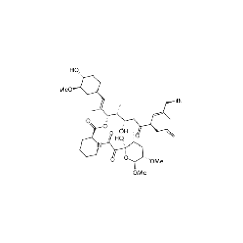 C=CC[C@H](/C=C(\C)C[C@H](C)CC)C(=O)C[C@H](O)[C@@H](C)[C@H](OC(=O)[C@@H]1CCCCN1C(=O)C(=O)[C@]1(O)O[C@H](OC)[C@@H](OC)C[C@H]1C)/C(C)=C/[C@@H]1CC[C@@H](O)[C@H](OC)C1